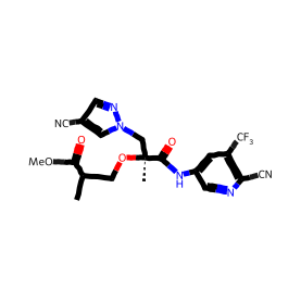 COC(=O)C(C)CO[C@@](C)(Cn1cc(C#N)cn1)C(=O)Nc1cnc(C#N)c(C(F)(F)F)c1